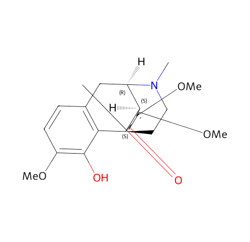 COC1=C(OC)[C@@H]2[C@H]3Cc4ccc(OC)c(O)c4[C@@]2(CCN3C)CC1=O